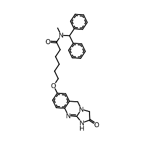 CN(C(=O)CCCCCOc1ccc2c(c1)CN1CC(=O)NC1=N2)C(c1ccccc1)c1ccccc1